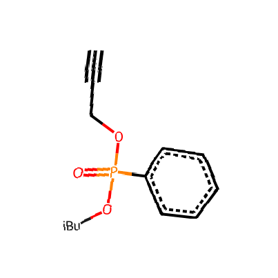 C#CCOP(=O)(OC(C)CC)c1ccccc1